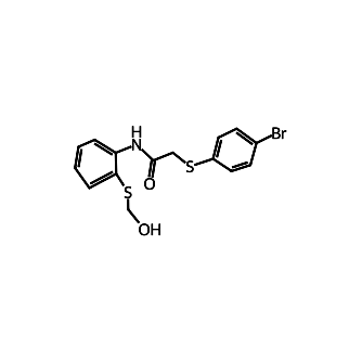 O=C(CSc1ccc(Br)cc1)Nc1ccccc1SCO